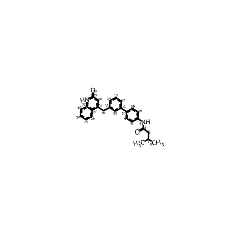 CC(C)CC(=O)Nc1ccc(-c2cccc(Cc3cc(=O)[nH]c4ccccc34)c2)cc1